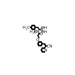 Cc1ccc(CC(NC(=O)CCOc2cccc(C=C(C#N)c3ccccn3)c2)B(O)O)c(C)c1